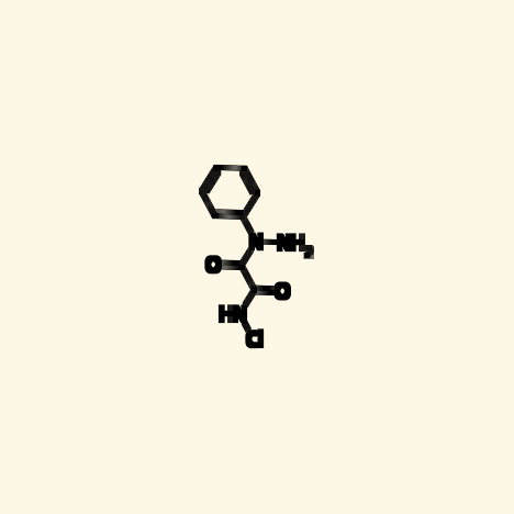 NN(C(=O)C(=O)NCl)c1ccccc1